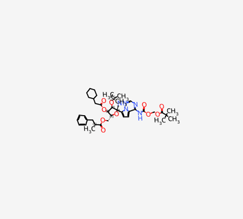 C[C@@H](Cc1ccccc1)C(=O)OC[C@H]1O[C@@](C#N)(c2ccc3c(NC(=O)OCOC(=O)C(C)(C)C)ncnn23)[C@H](O[Si](C)(C)C)[C@@H]1OC(=O)CC1CCCCC1